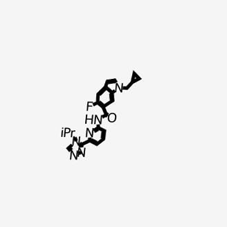 CC(C)n1cnnc1-c1cccc(NC(=O)c2cc3c(ccn3CC3CC3)cc2F)n1